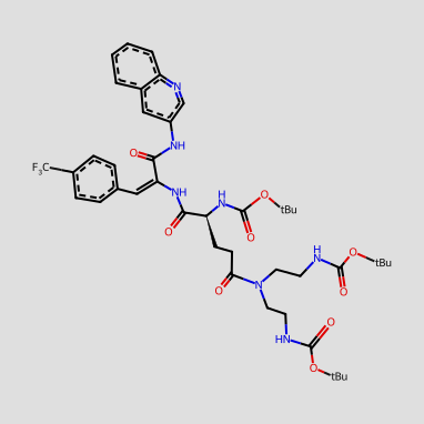 CC(C)(C)OC(=O)NCCN(CCNC(=O)OC(C)(C)C)C(=O)CC[C@H](NC(=O)OC(C)(C)C)C(=O)N/C(=C/c1ccc(C(F)(F)F)cc1)C(=O)Nc1cnc2ccccc2c1